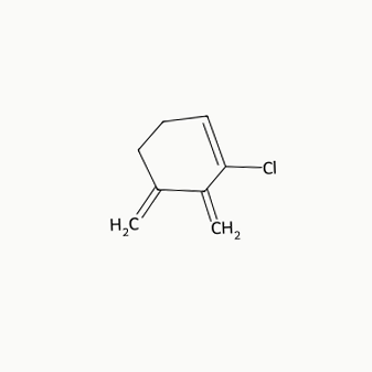 C=C1CCC=C(Cl)C1=C